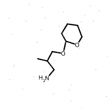 CC(CN)COC1CCCCO1